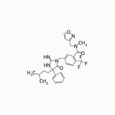 CC(C)CCC1(c2ccccc2)NC(=N)N(Cc2ccc(C(F)(F)F)c(C(=O)N(C)Cc3ccon3)c2)C1=O